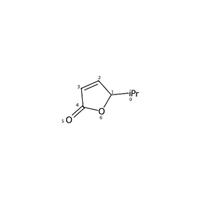 CC(C)C1C=CC(=O)O1